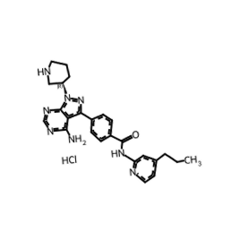 CCCc1ccnc(NC(=O)c2ccc(-c3nn([C@@H]4CCCNC4)c4ncnc(N)c34)cc2)c1.Cl